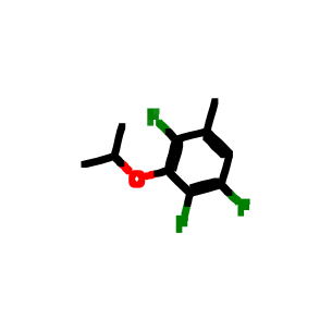 Cc1cc(F)c(F)c(OC(C)C)c1F